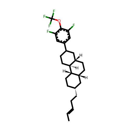 C/C=C/CC[C@@H]1CC[C@H]2[C@H](CC[C@H]3CC(c4cc(F)c(OC(F)(F)F)c(F)c4)CC[C@@H]32)C1